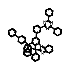 C1=CCCC(c2nc(-c3ccccc3)nc(-c3cccc(-c4cc(N(C5=CCC(c6ccccc6)C=C5)c5ccccc5)c5c(c4)-n4c(nc6ccccc64)C54c5ccccc5-c5ccccc54)c3)n2)=C1